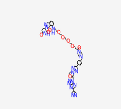 Cn1cc(-c2cnc3c(nnn3C[C@@H]3CN(c4ncc(-c5ccc(CN6CCN(C(=O)CCOCCOCCOCCOCCNc7cccc8cnn(C9CCC(=O)NC9=O)c(=O)c78)CC6)cc5)cn4)CCO3)n2)cn1